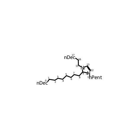 CCCCCCCCCCCCCCCCCCC1N(CCCCC)C=CN1CCCCCCCCCCCC